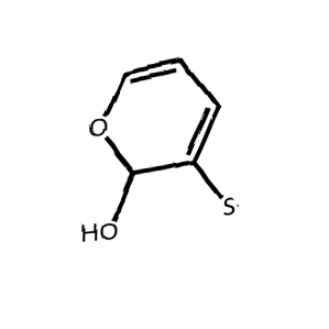 OC1OC=CC=C1[S]